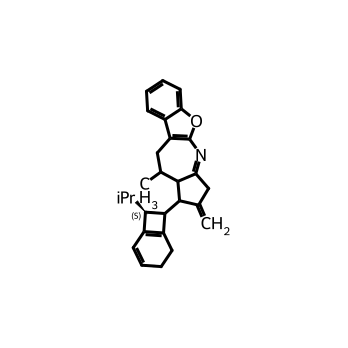 C=C1CC2=Nc3oc4ccccc4c3CC(C)C2C1C1C2=C(C=CCC2)[C@H]1C(C)C